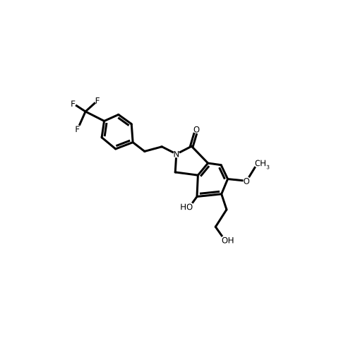 COc1cc2c(c(O)c1CCO)CN(CCc1ccc(C(F)(F)F)cc1)C2=O